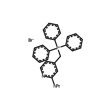 CCCc1cc(C[P+](c2ccccc2)(c2ccccc2)c2ccccc2)ccn1.[Br-]